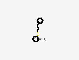 Cc1ccccc1SCCCc1ccccc1